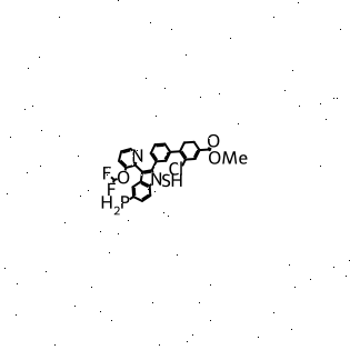 COC(=O)C1=CC(Cl)=C(c2cccc(-c3c(-c4ncccc4OC(F)F)c4cc(P)ccc4n3S)c2)CC1